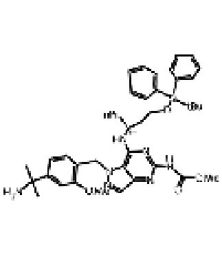 CCC[C@@H](CCO[Si](c1ccccc1)(c1ccccc1)C(C)(C)C)Nc1nc(NC(=O)OC)nc2cnn(Cc3ccc(C(C)(C)N)cc3OC)c12